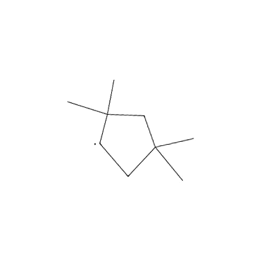 CC1(C)[CH]CC(C)(C)C1